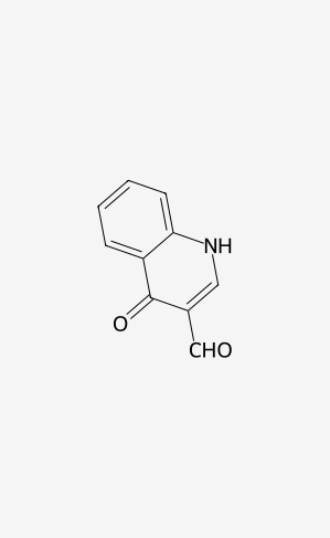 O=Cc1c[nH]c2ccccc2c1=O